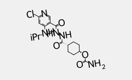 CC(C)Nc1cc(Cl)ncc1C(=O)NNC(=O)[C@H]1CC[C@H](OC(N)=O)CC1